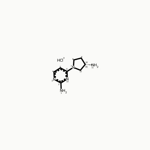 Cl.Nc1nccc(N2CC[C@H](N)C2)n1